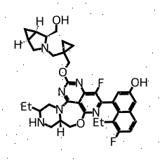 CCc1c(F)ccc2cc(O)cc(-c3nc4c5c(nc(OCC6(CN7C[C@H]8C[C@H]8[C@H]7CO)CC6)nc5c3F)N3CC(CC)NC[C@H]3CO4)c12